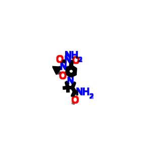 COC[C@@H](N)C1CN(c2ccc3c(=O)n(N)c(=O)n(C4CC4)c3c2OC)CC1(C)C